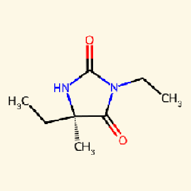 CCN1C(=O)N[C@](C)(CC)C1=O